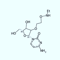 CCNOCCOC1C(O)[C@@H](CO)O[C@H]1n1ccc(N)nc1=O